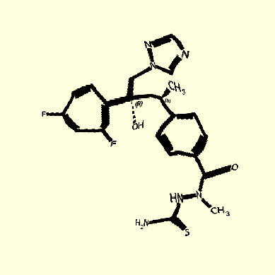 C[C@@H](c1ccc(C(=O)N(C)NC(N)=S)cc1)[C@](O)(Cn1cncn1)c1ccc(F)cc1F